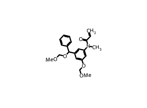 C=CC(=O)N(C)c1cc(OCOC)cc(C(OCOC)c2ccccc2)c1